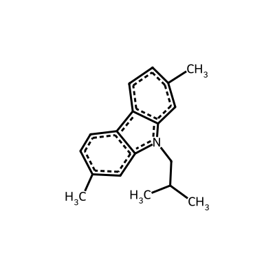 Cc1ccc2c3ccc(C)cc3n(CC(C)C)c2c1